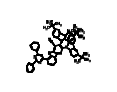 CC(C)(C)c1ccc2c(c1)c1cc(C(C)(C)C)ccc1n2-c1cc2c(oc3c(-c4cc(-c5ccccc5)nc(-c5ccccc5)n4)cccc32)c(C#N)c1-n1c2ccc(C(C)(C)C)cc2c2cc(C(C)(C)C)ccc21